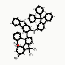 Cc1ccccc1-c1c(-c2cc3c(cc2Nc2ccc4c(c2)C(c2ccccc2)(c2ccccc2)c2ccccc2-4)sc2ccccc23)ccc2c1-c1c(C(C)(C)C)cc(C(C)(C)C)cc1C2(C)C